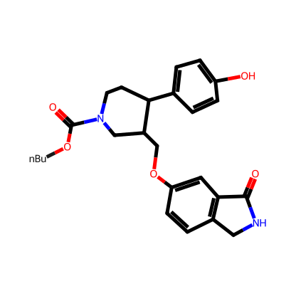 CCCCOC(=O)N1CCC(c2ccc(O)cc2)C(COc2ccc3c(c2)C(=O)NC3)C1